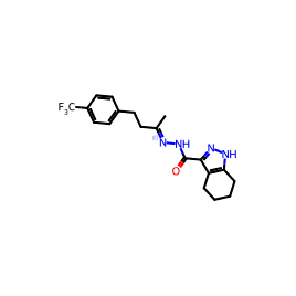 C/C(CCc1ccc(C(F)(F)F)cc1)=N\NC(=O)c1n[nH]c2c1CCCC2